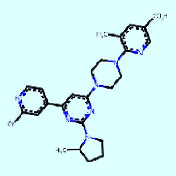 Cc1cc(C(=O)O)cnc1N1CCN(c2cc(-c3ccnc(C(C)C)c3)nc(N3CCCC3C)n2)CC1